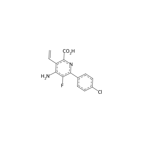 C=Cc1c(C(=O)O)nc(-c2ccc(Cl)cc2)c(F)c1N